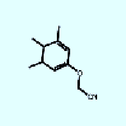 CC1=CC(OCC#N)=CC(C)C1C